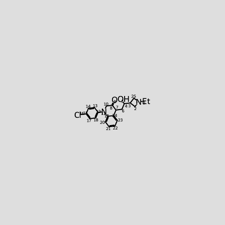 CCN1CC(C(O)CC2C(=O)CN(c3ccc(Cl)cc3)c3ccccc32)C1